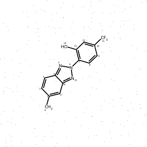 Cc1ccc2nn(-c3ccc(C(F)(F)F)cc3O)nc2c1